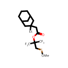 CCC1(CC(=O)OC(CSOC)(C(F)(F)F)C(F)(F)F)CC2CCCC(C2)C1